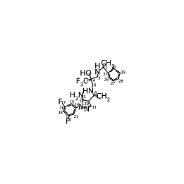 C=C(NCC(O)(CNC(=C)C1C=NN(c2cc(F)cc(F)c2)C1N)C(F)(F)F)c1ccccc1